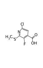 CSc1nc(Cl)cc(C(=O)O)c1F